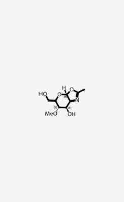 CO[C@@H]1C(CO)O[C@@H]2OC(C)=NC2[C@H]1O